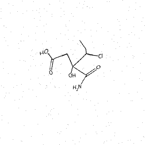 CC(Cl)C(O)(CC(=O)O)C(N)=O